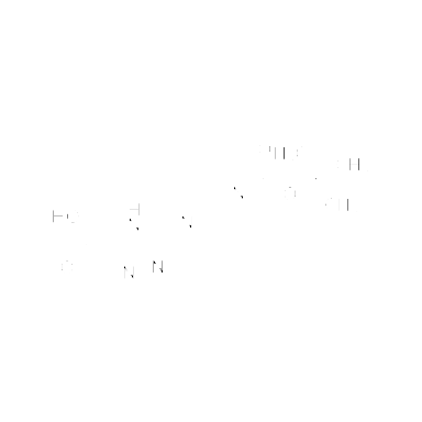 CC(C)(C)OC(=O)N1CCN(c2nnc(C(=O)O)[nH]2)CC1